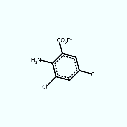 CCOC(=O)c1cc(Cl)cc(Cl)c1N